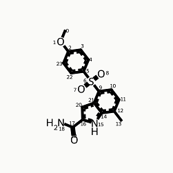 COc1ccc(S(=O)(=O)c2ccc(C)c3[nH]c(C(N)=O)cc23)cc1